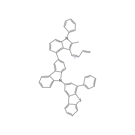 C=C/C=C\c1c(C)n(-c2ccccc2)c2cccc(-c3ccc4c(c3)c3ccccc3n4-c3cc(-c4ccccc4)c4sc5ccccc5c4c3)c12